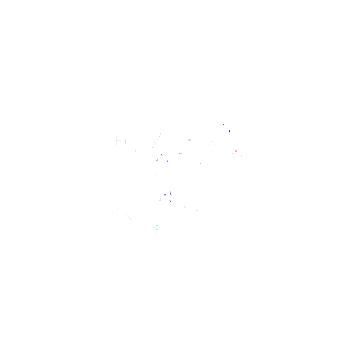 CC(C)(C)OC(=O)NC(Cc1cc(F)cc(F)c1)c1ncccc1-c1ccc2cc[nH]c(=O)c2c1